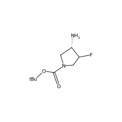 CC(C)(C)OC(=O)N1CC(F)[C@@H](N)C1